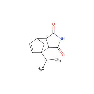 CC(C)C12C=CC(C1)C1C(=O)NC(=O)C12